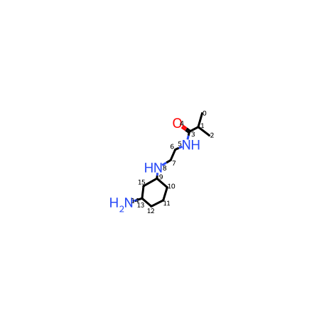 CC(C)C(=O)NCCNC1CCCC(N)C1